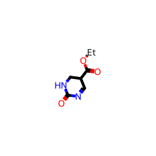 CCOC(=O)C1C=NC(=O)NC1